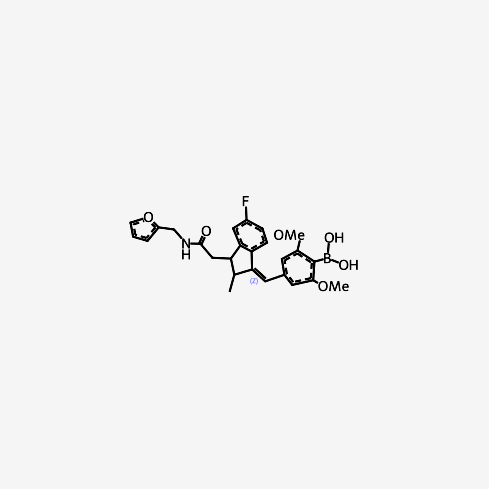 COc1cc(/C=C2\c3ccc(F)cc3C(CC(=O)NCc3ccco3)C2C)cc(OC)c1B(O)O